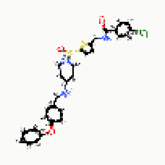 O=C(NCc1ccc([S+]([O-])N2CCC(NCc3ccc(Oc4ccccc4)cc3)CC2)s1)c1ccc(Cl)cc1